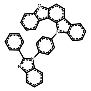 c1ccc(-c2nc3ccccc3n2-c2ccc(-n3c4ccccc4c4ccc5oc6ccccc6c5c43)cc2)cc1